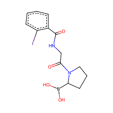 O=C(NCC(=O)N1CCCC1B(O)O)c1ccccc1I